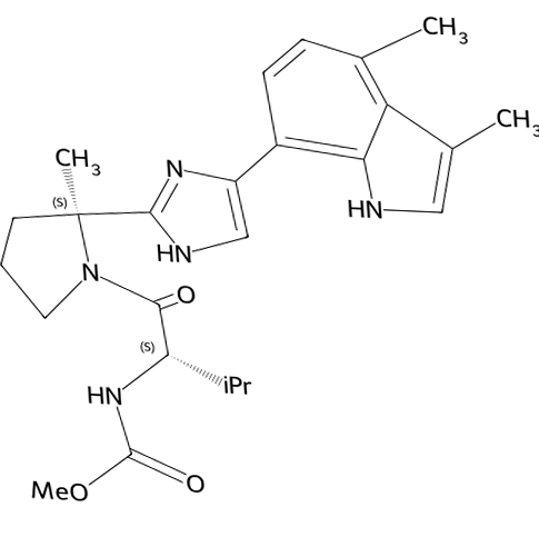 COC(=O)N[C@H](C(=O)N1CCC[C@@]1(C)c1nc(-c2ccc(C)c3c(C)c[nH]c23)c[nH]1)C(C)C